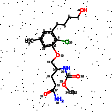 Cc1cc(CCCCO)c(Cl)c(OCC(CCC(N)=O)NC(=O)OC(C)(C)C)c1